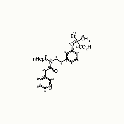 CCCCCCCN(CCc1cccc(OC(C)(CC)C(=O)O)c1)C(=O)Cc1cccnc1